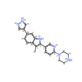 Cc1c(-c2ccc(N3CCNCC3)nc2)[nH]c2cc(-c3cn[nH]c3)ccc12